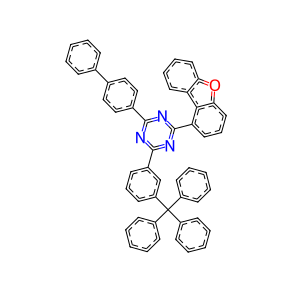 c1ccc(-c2ccc(-c3nc(-c4cccc(C(c5ccccc5)(c5ccccc5)c5ccccc5)c4)nc(-c4cccc5oc6ccccc6c45)n3)cc2)cc1